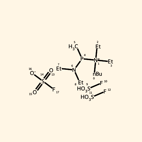 CCCC[N+](CC)(CC)P(C)N(CC)CC.O=S(=O)(O)F.O=S(=O)(O)F.O=S(=O)([O-])F